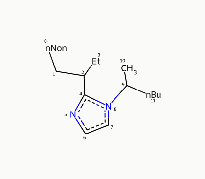 CCCCCCCCCCC(CC)c1nccn1C(C)CCCC